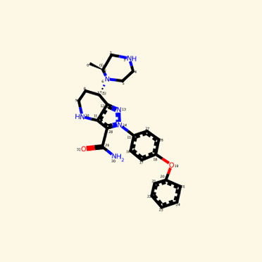 C[C@H]1CNCCN1[C@H]1CCNc2c1nn(-c1ccc(Oc3ccccc3)cc1)c2C(N)=O